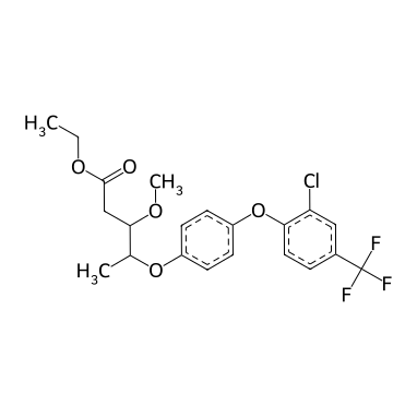 CCOC(=O)CC(OC)C(C)Oc1ccc(Oc2ccc(C(F)(F)F)cc2Cl)cc1